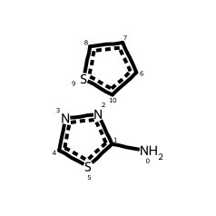 Nc1nncs1.c1ccsc1